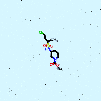 CC(CCCl)S(=O)(=O)NC1CCCN(C(=O)OC(C)(C)C)C1